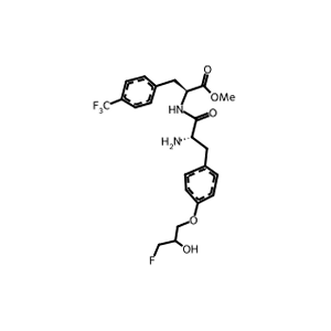 COC(=O)[C@H](Cc1ccc(C(F)(F)F)cc1)NC(=O)[C@@H](N)Cc1ccc(OCC(O)CF)cc1